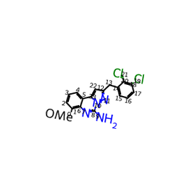 COc1cccc2c1nc(N)n1nc(Cc3cccc(Cl)c3Cl)cc21